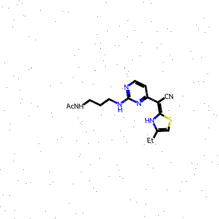 CCC1=CS/C(=C(\C#N)c2ccnc(NCCCNC(C)=O)n2)N1